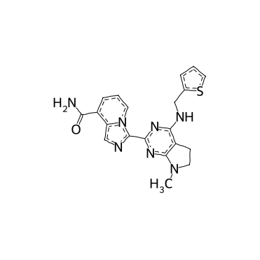 CN1CCc2c(NCc3cccs3)nc(-c3ncc4c(C(N)=O)cccn34)nc21